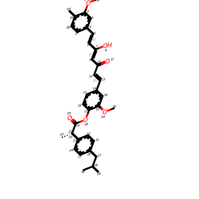 COc1cc(/C=C/C(O)=C/C(=O)/C=C/c2ccc(OC(=O)[C@@H](C)c3ccc(CC(C)C)cc3)c(OC)c2)ccc1C